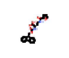 O=C(N[C@@H](CCNC(=O)c1ccco1)C(=O)O)OCC1c2ccccc2-c2ccccc21